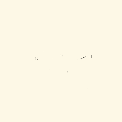 C[N+]1(C)CCC(OC(=O)[C@@](O)(c2ccccc2)C2CCCC2)C1